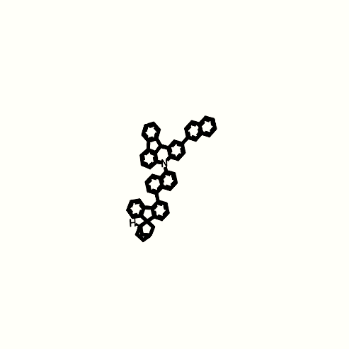 CC12c3ccccc3-c3cccc(c31)N(c1cccc3c(-c4cccc5c4-c4ccccc4C54CC5CC[C@H]4C5)cccc13)c1ccc(-c3ccc4ccccc4c3)cc12